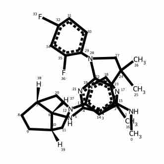 CNc1nc(N[C@H]2[C@@H]3CC[C@H]2CN(c2cc(C)ncn2)C3)nc2c1C(C)(C)CN2c1ccc(F)cc1F